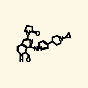 O=CC1NC=Cc2cc(N3CCCC3=O)nc(Nc3ccc(C4CCN(C5CC5)CC4)cc3)c21